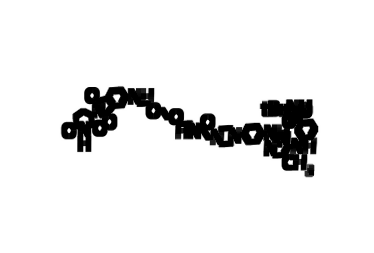 Cc1cnc(Nc2ccc(N3CCN(CC(=O)NCCOCCOCCNc4ccc5c(c4)C(=O)N(C4CCC(=O)NC4=O)C5=O)CC3)cc2)nc1Nc1cccc(S(=O)(=O)NC(C)(C)C)c1